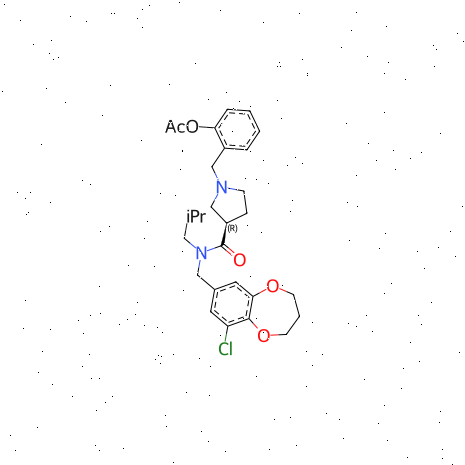 CC(=O)Oc1ccccc1CN1CC[C@@H](C(=O)N(Cc2cc(Cl)c3c(c2)OCCCO3)CC(C)C)C1